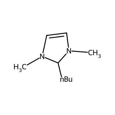 [CH2]CCCC1N(C)C=CN1C